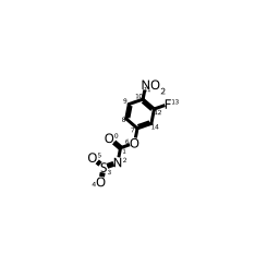 O=C(N=S(=O)=O)Oc1ccc([N+](=O)[O-])c(F)c1